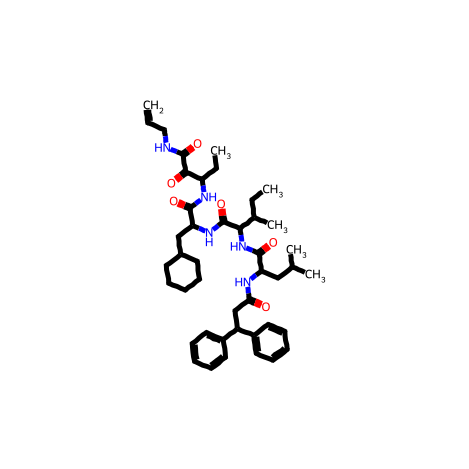 C=CCNC(=O)C(=O)C(CC)NC(=O)C(CC1CCCCC1)NC(=O)C(NC(=O)C(CC(C)C)NC(=O)CC(c1ccccc1)c1ccccc1)C(C)CC